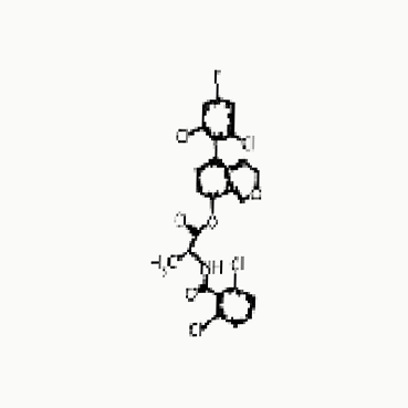 C[C@H](NC(=O)c1c(Cl)cccc1Cl)C(=O)Oc1ccc(-c2c(Cl)cc(F)cc2Cl)c2c1=COCC=2